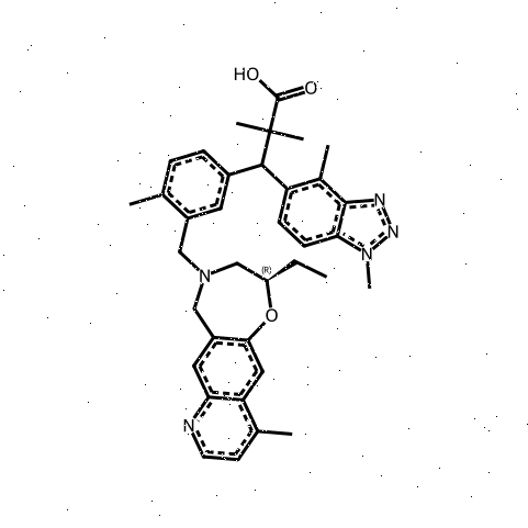 CC[C@@H]1CN(Cc2cc(C(c3ccc4c(nnn4C)c3C)C(C)(C)C(=O)O)ccc2C)Cc2cc3nccc(C)c3cc2O1